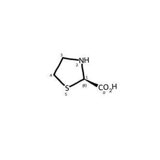 O=C(O)[C@@H]1NCCS1